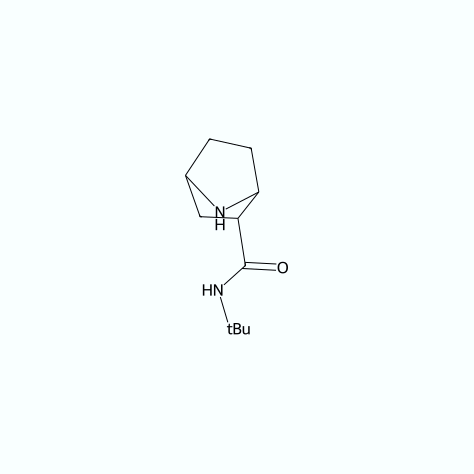 CC(C)(C)NC(=O)C1CC2CCC1N2